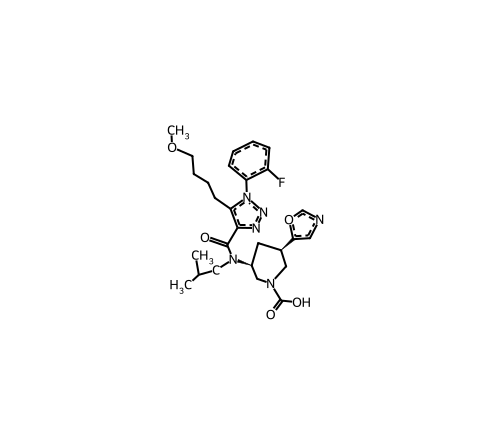 COCCCCc1c(C(=O)N(CC(C)C)[C@H]2C[C@@H](c3cnco3)CN(C(=O)O)C2)nnn1-c1ccccc1F